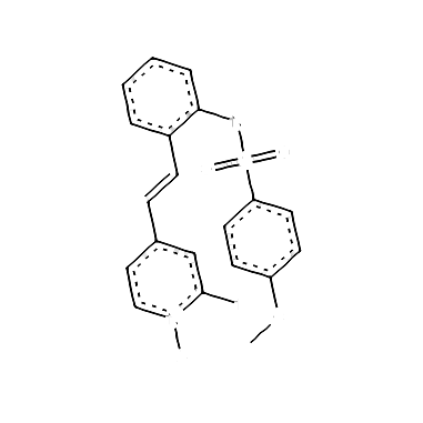 COc1ccc(S(=O)(=O)Nc2ccccc2C=Cc2cc[n+]([O-])c(F)c2)cc1